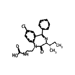 CC[C@H](C)[C@@H]1N=C(c2ccccc2)c2cc(Cl)ccc2N(CCNC(=O)O)C1=O